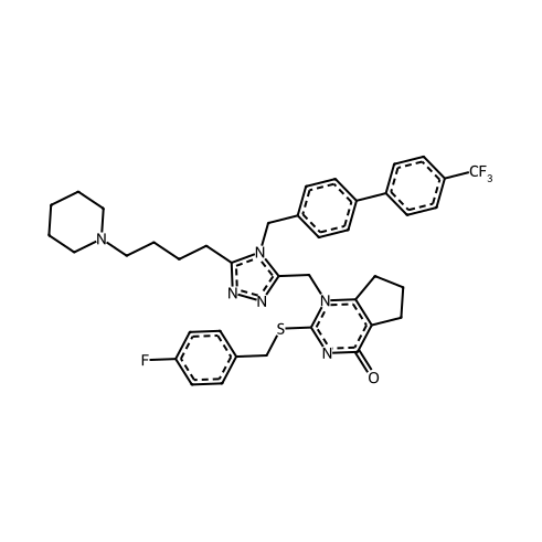 O=c1nc(SCc2ccc(F)cc2)n(Cc2nnc(CCCCN3CCCCC3)n2Cc2ccc(-c3ccc(C(F)(F)F)cc3)cc2)c2c1CCC2